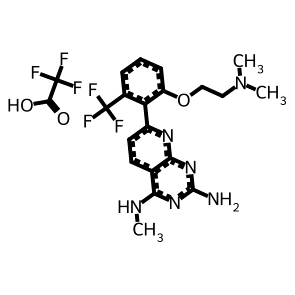 CNc1nc(N)nc2nc(-c3c(OCCN(C)C)cccc3C(F)(F)F)ccc12.O=C(O)C(F)(F)F